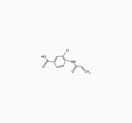 C=CC(=O)Nc1ccc(C(=O)O)cc1Cl